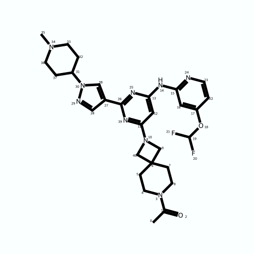 CC(=O)N1CCC2(CC1)CN(c1cc(Nc3cc(OC(F)F)ccn3)nc(-c3cnn(C4CCN(C)CC4)c3)n1)C2